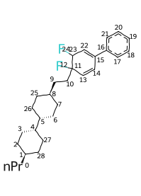 CCC[C@H]1CC[C@H]([C@H]2CC[C@H](CCC3(F)C=CC(c4ccccc4)=CC3F)CC2)CC1